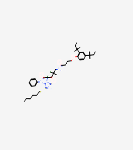 CCCCCCSc1ncn(C(Cl)(C(=O)Nc2ccccc2)C(=O)C(C)(C)CNC(=O)CCCOc2ccc(C(C)(C)CC)cc2C(C)(C)CC)n1